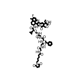 CC[C@@]1(O)C(=O)OCc2c1cc1n(c2=O)Cc2c-1nc1cc(F)c(C)c3c1c2[C@@H](NC(=O)[C@@H](OCNC(=O)CNC(=O)[C@H](CCc1ccccc1)NC(=O)CNC(=O)CNC(=O)CCCCCN1C(=O)C=CC1=O)C1CC1)CC3